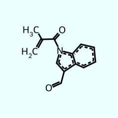 C=C(C)C(=O)n1cc(C=O)c2ccccc21